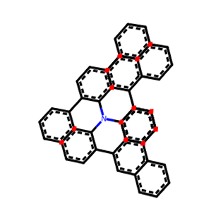 c1ccc(-c2ccc(-c3ccccc3)c(N(c3ccccc3-c3cccc4ccccc34)c3ccccc3-c3cc4ccccc4c4ccccc34)c2)cc1